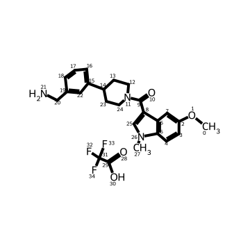 COc1ccc2c(c1)c(C(=O)N1CCC(c3cccc(CN)c3)CC1)cn2C.O=C(O)C(F)(F)F